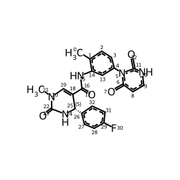 Cc1ccc(-n2c(=O)cc[nH]c2=O)cc1NC(=O)C1=CN(C)C(=O)N[C@H]1c1ccc(F)cc1